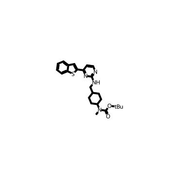 CN(C(=O)OC(C)(C)C)C1CCC(CNc2nccc(-c3cc4ccccc4s3)n2)CC1